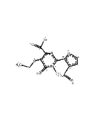 CCOc1c(C(=O)O)nc(-c2occc2C=O)n(C)c1=O